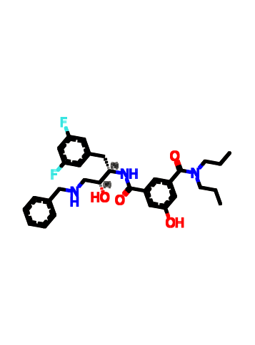 CCCN(CCC)C(=O)c1cc(O)cc(C(=O)N[C@@H](Cc2cc(F)cc(F)c2)[C@H](O)CNCc2ccccc2)c1